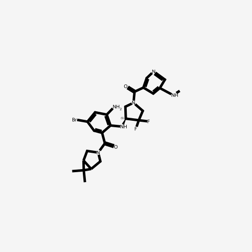 CNc1cncc(C(=O)N2C[C@H](Nc3c(N)cc(Br)cc3C(=O)N3CC4C(C3)C4(C)C)C(F)(F)C2)c1